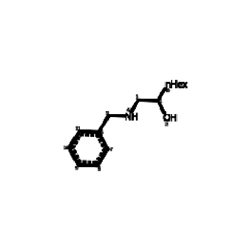 CCCCCCC(O)CNCc1ccccc1